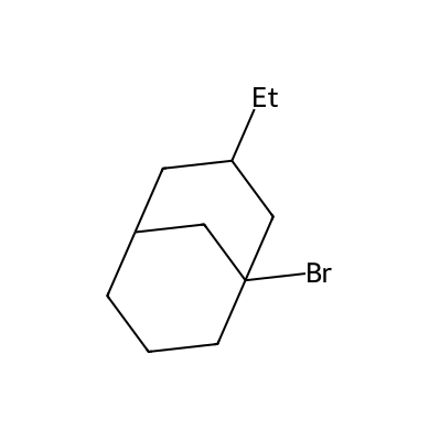 CCC1CC2CCCC(Br)(C1)C2